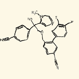 Cn1cncc1C(O)(COc1ccc(C#N)cc1-c1ccc(F)c(F)c1)c1ccc(C#N)cc1